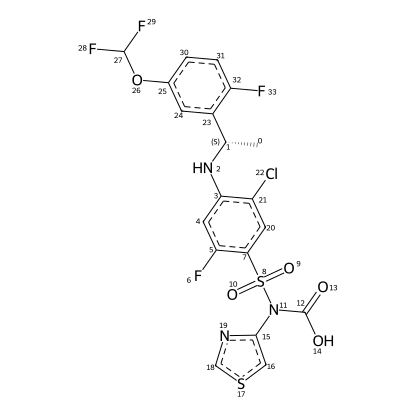 C[C@H](Nc1cc(F)c(S(=O)(=O)N(C(=O)O)c2cscn2)cc1Cl)c1cc(OC(F)F)ccc1F